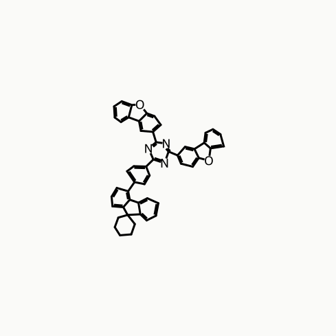 c1ccc2c(c1)-c1c(-c3ccc(-c4nc(-c5ccc6oc7ccccc7c6c5)nc(-c5ccc6oc7ccccc7c6c5)n4)cc3)cccc1C21CCCCC1